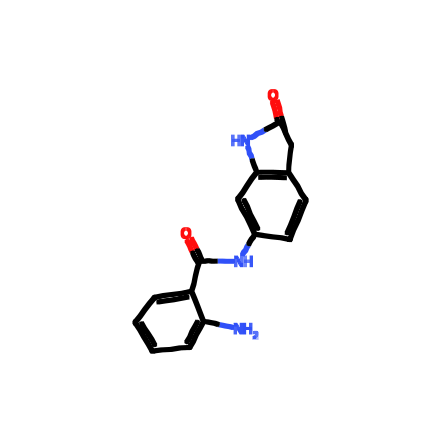 Nc1ccccc1C(=O)Nc1ccc2c(c1)NC(=O)C2